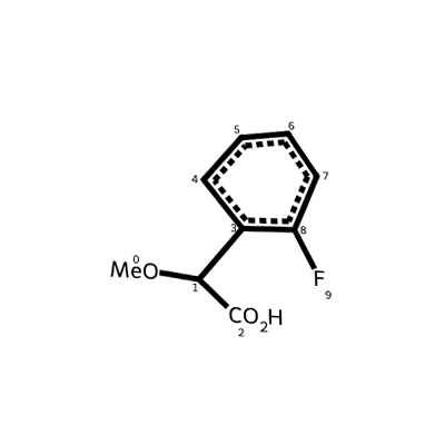 COC(C(=O)O)c1ccccc1F